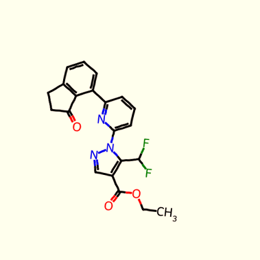 CCOC(=O)c1cnn(-c2cccc(-c3cccc4c3C(=O)CC4)n2)c1C(F)F